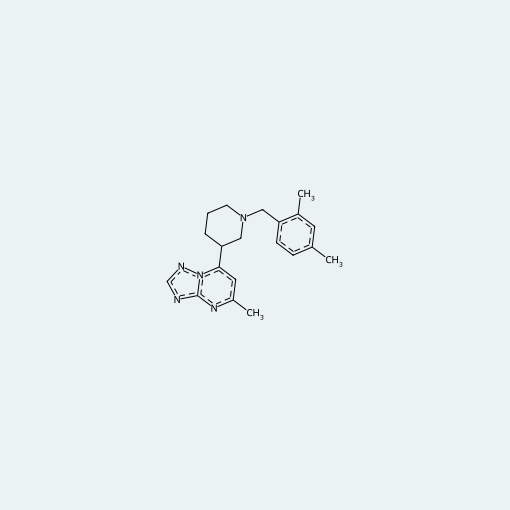 Cc1ccc(CN2CCCC(c3cc(C)nc4ncnn34)C2)c(C)c1